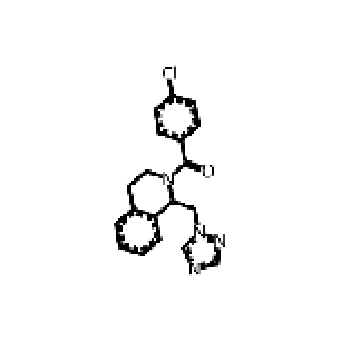 O=C(c1ccc(Cl)cc1)N1CCc2ccccc2C1Cn1cncn1